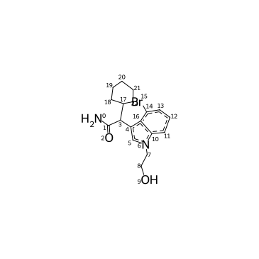 NC(=O)C(c1cn(CCO)c2cccc(Br)c12)C1CCCCC1